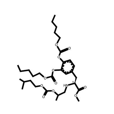 CCCCCOC(=O)Oc1ccc(C[C@H](NCC(C)OC(=O)OCCC(C)C)C(=O)OC)cc1OC(=O)OCCCCC